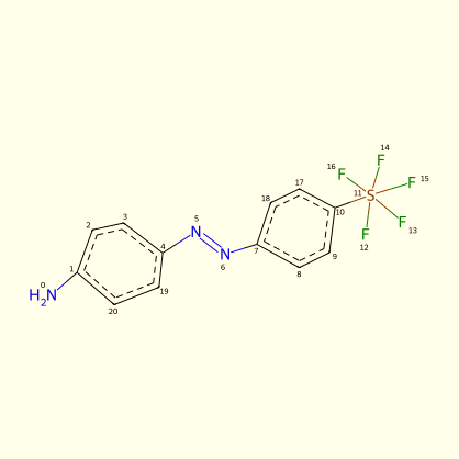 Nc1ccc(N=Nc2ccc(S(F)(F)(F)(F)F)cc2)cc1